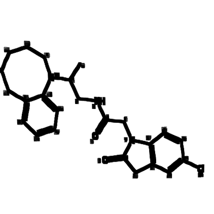 CC(CNC(=O)CN1C(=O)Cc2cc(Cl)ccc21)N1CCCCCc2ccccc21